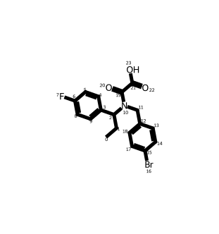 CCC(c1ccc(F)cc1)N(Cc1ccc(Br)cc1)C(=O)C(=O)O